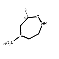 C[C@H]1CN(C(=O)O)CCNO1